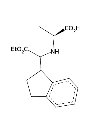 CCOC(=O)C(N[C@@H](C)C(=O)O)C1CCc2ccccc21